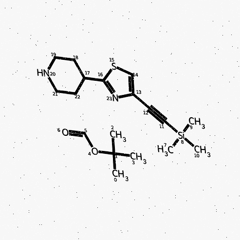 CC(C)(C)OC=O.C[Si](C)(C)C#Cc1csc(C2CCNCC2)n1